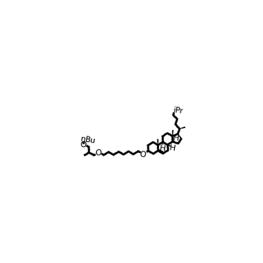 CCCCOCC(C)COCCCCCCCCOC1CC[C@@]2(C)C(=CC[C@H]3[C@@H]4CC[C@H]([C@H](C)CCCC(C)C)[C@@]4(C)CC[C@@H]32)C1